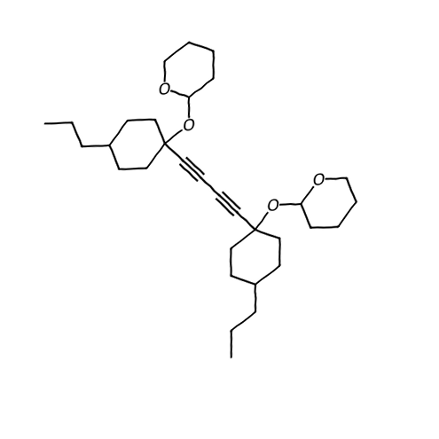 CCCC1CCC(C#CC#CC2(OC3CCCCO3)CCC(CCC)CC2)(OC2CCCCO2)CC1